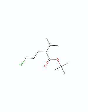 CC(C)C(C/C=C/Cl)C(=O)OC(C)(C)C